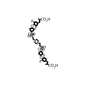 C/C(=C\c1cc(F)c(Oc2ccc(S(=O)(=O)NCCN3CCN(CCNS(=O)(=O)c4ccc(Oc5c(F)cc(/C=C(\C)C(=O)O)cc5F)cc4)CC3)cc2)c(F)c1)C(=O)O